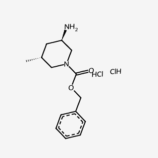 C[C@@H]1C[C@@H](N)CN(C(=O)OCc2ccccc2)C1.Cl.Cl